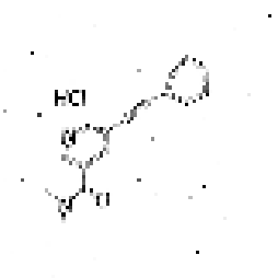 CN(C)C(=O)c1cncc(C#Cc2ccccc2)c1.Cl